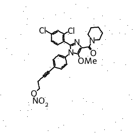 COc1c(C(=O)N2CCCCC2)nc(-c2ccc(Cl)cc2Cl)n1-c1ccc(C#CCCO[N+](=O)[O-])cc1